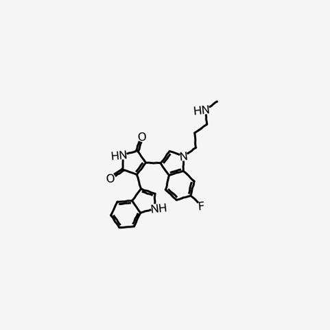 CNCCCn1cc(C2=C(c3c[nH]c4ccccc34)C(=O)NC2=O)c2ccc(F)cc21